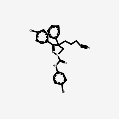 N#CCCCC1(c2ccccc2)CN(C(=O)Nc2ccc(Br)cc2)N=C1c1ccc(Cl)cc1